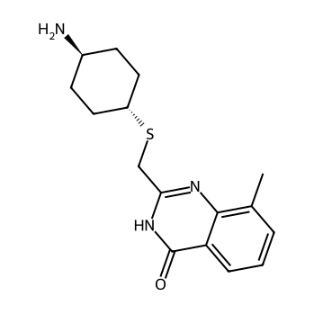 Cc1cccc2c(=O)[nH]c(CS[C@H]3CC[C@H](N)CC3)nc12